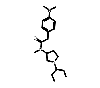 CCC(CC)N1CCC(N(C)C(=O)Cc2ccc(N(C)C)cc2)C1